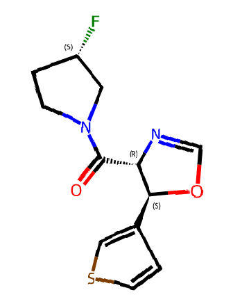 O=C([C@@H]1N=CO[C@H]1c1ccsc1)N1CC[C@H](F)C1